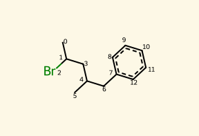 CC(Br)CC(C)Cc1ccccc1